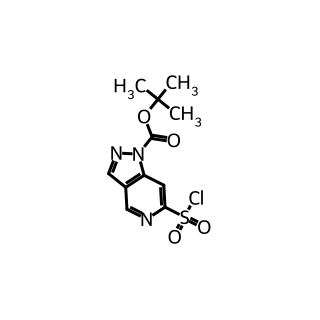 CC(C)(C)OC(=O)n1ncc2cnc(S(=O)(=O)Cl)cc21